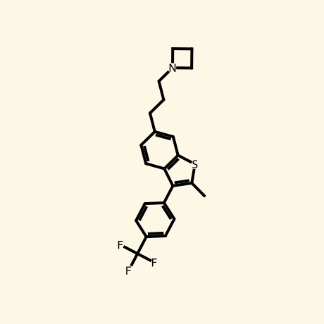 Cc1sc2cc(CCCN3CCC3)ccc2c1-c1ccc(C(F)(F)F)cc1